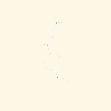 CC(C)(C)OC(=O)N1CCC(C(=O)NNC(=O)CC(F)(F)F)CC1